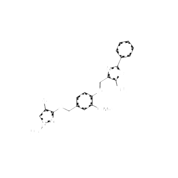 COc1cc(COc2nn(C)cc2C(C)=O)ccc1OCc1nc(-c2ccccc2)oc1C